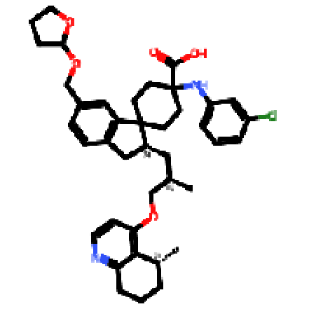 C[C@@H](COc1ccnc2c1[C@H](C)CCC2)C[C@H]1Cc2ccc(COC3CCCO3)cc2C12CCC(Nc1cccc(Cl)c1)(C(=O)O)CC2